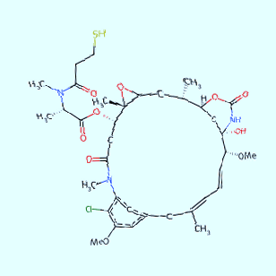 COc1cc2cc(c1Cl)N(C)C(=O)C[C@H](OC(=O)[C@H](C)N(C)C(=O)CCS)[C@]1(C)OC1C[C@H](C)[C@@H]1C[C@@](O)(NC(=O)O1)[C@H](OC)/C=C/C=C(\C)C2